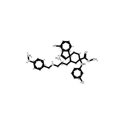 COC(=O)C1(Nc2cccc(Cl)c2)CCC2(C=Cc3c(F)cccc32)C(C[C@@H](C)COCc2ccc(OC)cc2)C1